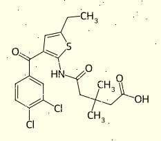 CCc1cc(C(=O)c2ccc(Cl)c(Cl)c2)c(NC(=O)CC(C)(C)CC(=O)O)s1